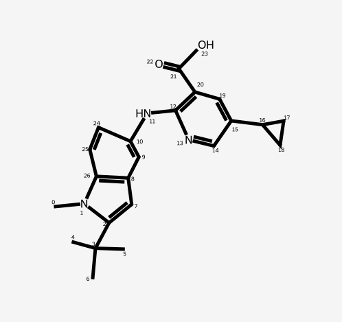 Cn1c(C(C)(C)C)cc2cc(Nc3ncc(C4CC4)cc3C(=O)O)ccc21